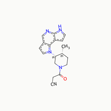 C[C@@H]1CCN(C(=O)CC#N)C[C@@H]1n1ccc2cnc3[nH]ccc3c21